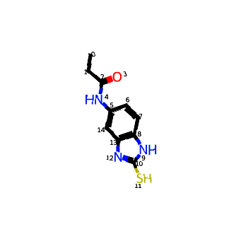 CCC(=O)Nc1ccc2[nH]c(S)nc2c1